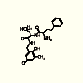 Cc1cc(Cl)cc(CNC(=O)[C@H](C)NC(=O)[C@H](N)CCc2ccccc2)c1O.Cl